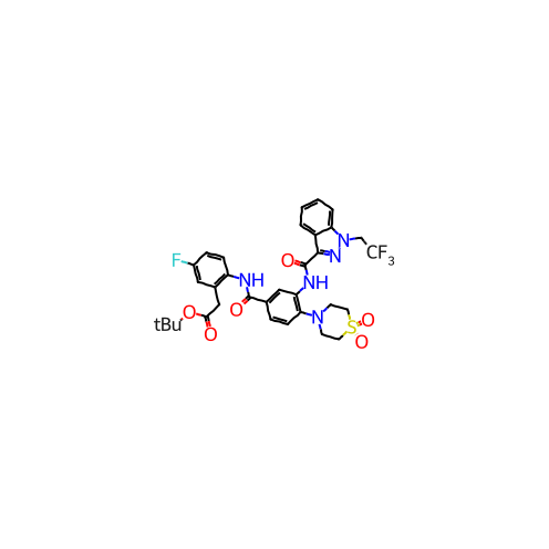 CC(C)(C)OC(=O)Cc1cc(F)ccc1NC(=O)c1ccc(N2CCS(=O)(=O)CC2)c(NC(=O)c2nn(CC(F)(F)F)c3ccccc23)c1